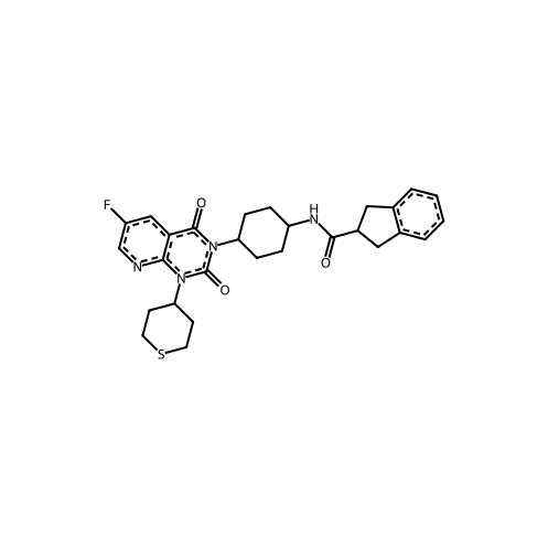 O=C(NC1CCC(n2c(=O)c3cc(F)cnc3n(C3CCSCC3)c2=O)CC1)C1Cc2ccccc2C1